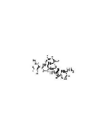 Cc1ccc(F)cc1-c1ccc(C(=O)NS(=O)(=O)c2cccc(N)n2)c(N2C[C@@H](C)CC2(C)C)n1